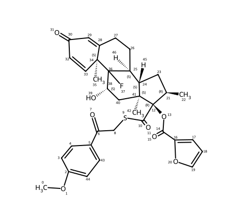 COc1ccc(C(=O)CSC(=O)[C@@]2(OC(=O)c3ccco3)[C@H](C)C[C@H]3[C@@H]4CCC5=CC(=O)C=C[C@]5(C)C4(F)[C@@H](O)C[C@@]32C)cc1